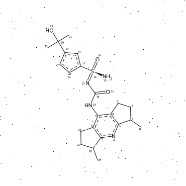 CC1CCc2c1nc1c(c2NC(=O)N=[S@@](N)(=O)c2cc(C(C)(C)O)cs2)CCC1C